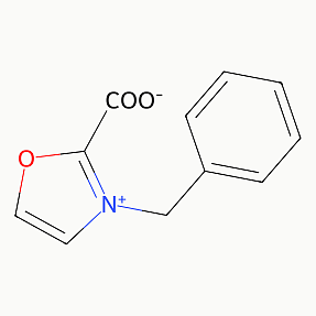 O=C([O-])c1occ[n+]1Cc1ccccc1